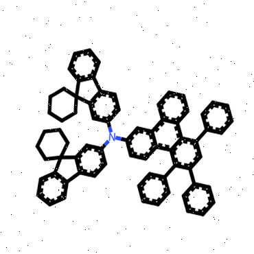 c1ccc(-c2cc(-c3ccccc3)c3c4ccccc4c4cc(N(c5ccc6c(c5)C5(CCCCC5)c5ccccc5-6)c5ccc6c(c5)C5(CCCCC5)c5ccccc5-6)ccc4c3c2-c2ccccc2)cc1